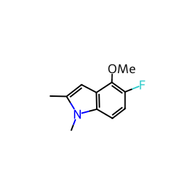 COc1c(F)ccc2c1cc(C)n2C